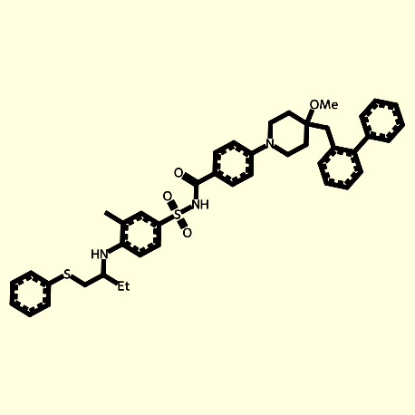 CCC(CSc1ccccc1)Nc1ccc(S(=O)(=O)NC(=O)c2ccc(N3CCC(Cc4ccccc4-c4ccccc4)(OC)CC3)cc2)cc1C